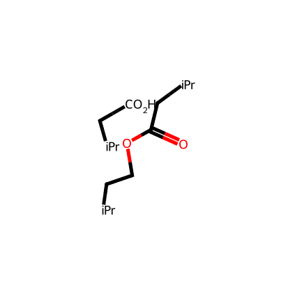 CC(C)CC(=O)O.CC(C)CCOC(=O)CC(C)C